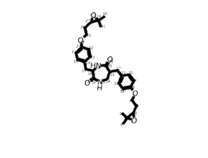 CC1(C)OC1CCOc1ccc(CC2CNC(=O)C(Cc3ccc(OCCC4OC4(C)C)cc3)NC2=O)cc1